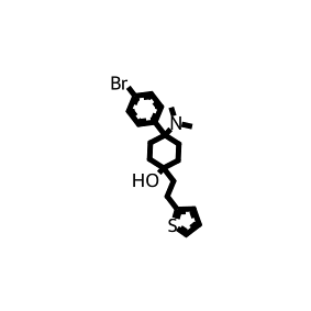 CN(C)C1(c2ccc(Br)cc2)CCC(O)(CCc2cccs2)CC1